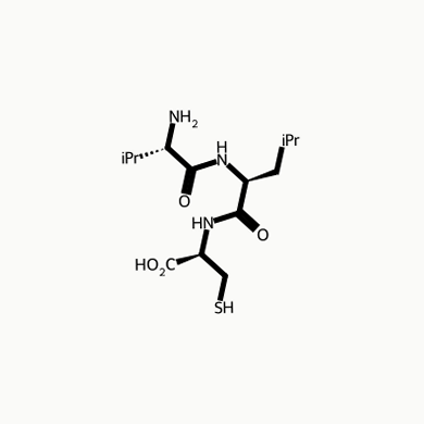 CC(C)C[C@H](NC(=O)[C@@H](N)C(C)C)C(=O)N[C@@H](CS)C(=O)O